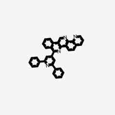 c1ccc(-c2cc(-c3nc4c(cnc5c4ccc4cccnc45)c4ccccc34)cc(-c3ccccc3)n2)cc1